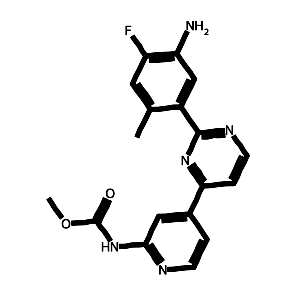 COC(=O)Nc1cc(-c2ccnc(-c3cc(N)c(F)cc3C)n2)ccn1